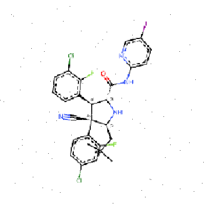 CC(C)(C)C[C@@H]1N[C@@H](C(=O)Nc2ccc(I)cn2)[C@H](c2cccc(Cl)c2F)[C@@]1(C#N)c1ccc(Cl)cc1F